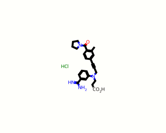 Cc1cc(C#CCN(CCC(=O)O)c2cccc(C(=N)N)c2)ccc1C(=O)N1CCCC1.Cl